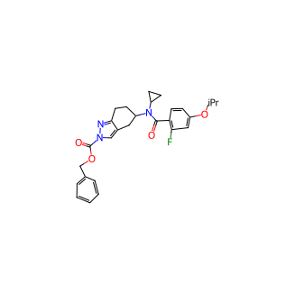 CC(C)Oc1ccc(C(=O)N(C2CC2)C2CCc3nn(C(=O)OCc4ccccc4)cc3C2)c(F)c1